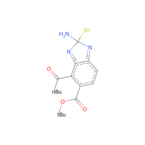 CCCCC(=O)c1c(C(=O)OC(C)(C)C)ccc2c1=NC(N)(S)N=2